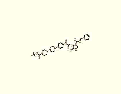 CC(C)(C)OC(=O)N1CCC(N2CCN(c3ccc(NC(=O)C[C@H]4C(=O)OCN4C(=O)OCc4ccccc4)cc3)CC2)CC1